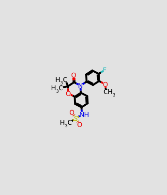 COc1cc(N2C(=O)C(C)(C)Oc3cc(NS(C)(=O)=O)ccc32)ccc1F